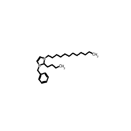 CCCCCCCCCCCCN1C=CN(Cc2ccccc2)C1CCCC